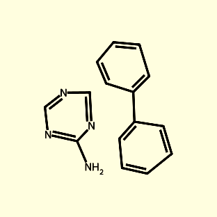 Nc1ncncn1.c1ccc(-c2ccccc2)cc1